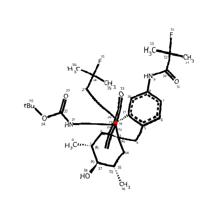 C[C@@H]1C[C@@]2(Cc3ccc(NC(=O)C(C)(C)F)cc3[C@]23N=C(NC(=O)OC(C)(C)C)N(CC(C)(C)F)C3=O)C[C@H](C)[C@H]1O